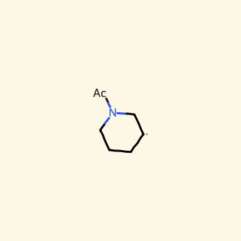 CC(=O)N1C[CH]CCC1